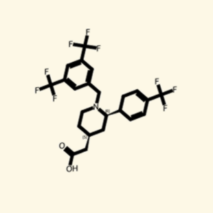 O=C(O)C[C@H]1CCN(Cc2cc(C(F)(F)F)cc(C(F)(F)F)c2)[C@@H](C2C=CC(C(F)(F)F)=CC2)C1